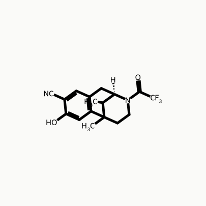 CC1[C@H]2Cc3cc(C#N)c(O)cc3C1(C)CCN2C(=O)C(F)(F)F